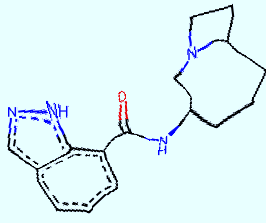 O=C(N[C@@H]1CCCC2CCN2C1)c1cccc2cn[nH]c12